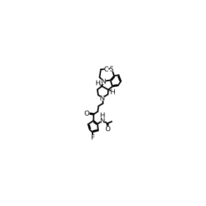 CC(=O)Nc1cc(F)ccc1C(=O)CCCN1CC[C@H]2[C@@H](C1)c1cccc3c1N2CCCS3